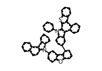 c1ccc(-n2c3ccc(-c4cccc5oc6ccc(-n7c8ccccc8c8c9ccccc9ccc87)cc6c45)cc3c3c4ccccc4c4c5ccccc5sc4c32)cc1